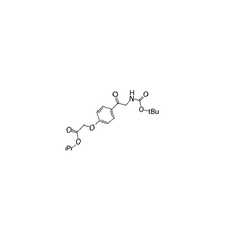 CC(C)OC(=O)COc1ccc(C(=O)CNC(=O)OC(C)(C)C)cc1